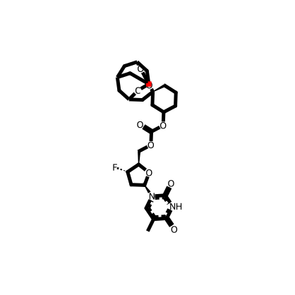 Cc1cn([C@H]2C[C@H](F)[C@@H](COC(=O)OC3CCC[C@]4(CC5CC6CC(C5)CC(C6)OO4)C3)O2)c(=O)[nH]c1=O